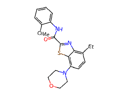 CCc1ccc(N2CCOCC2)c2sc(C(=O)Nc3ccccc3OC)nc12